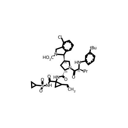 C=CC1CC1(NC(=O)[C@@H]1C[C@@H](C2c3cccc(Cl)c3CN2C(=O)O)CN1C(=O)[C@@H](Nc1cccc(C(C)(C)C)c1)C(C)C)C(=O)NS(=O)(=O)C1CC1